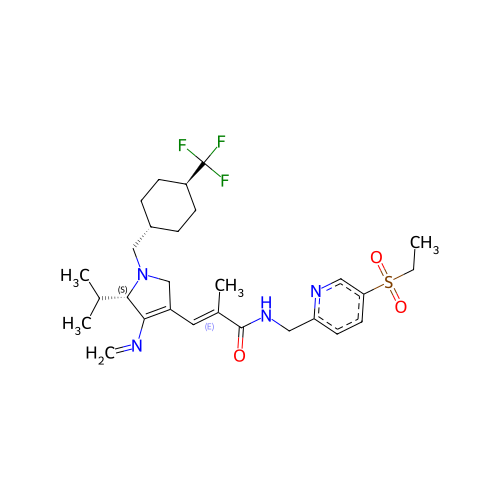 C=NC1=C(/C=C(\C)C(=O)NCc2ccc(S(=O)(=O)CC)cn2)CN(C[C@H]2CC[C@H](C(F)(F)F)CC2)[C@H]1C(C)C